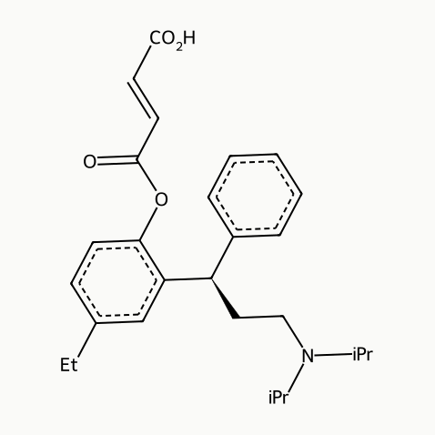 CCc1ccc(OC(=O)/C=C/C(=O)O)c([C@H](CCN(C(C)C)C(C)C)c2ccccc2)c1